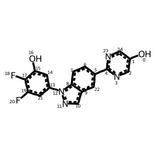 Oc1cnc(-c2ccc3c(cnn3-c3cc(O)c(F)c(F)c3)c2)nc1